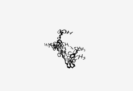 Cc1cc(OCCCC(=O)O)cc(C)c1S(=O)(=O)NC(CNC(=O)CCCCc1ccc2c(n1)N(S(=O)(=O)c1c(C)c(C)c3c(c1C)CC(C)(C)O3)CCC2)C(=O)OC(C)(C)C